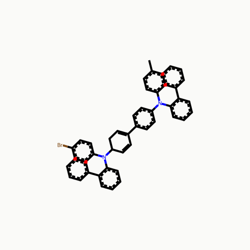 Cc1ccc(N(c2ccc(C3=CCC(N(c4ccc(Br)cc4)c4ccccc4-c4ccccc4)C=C3)cc2)c2ccccc2-c2ccccc2)cc1